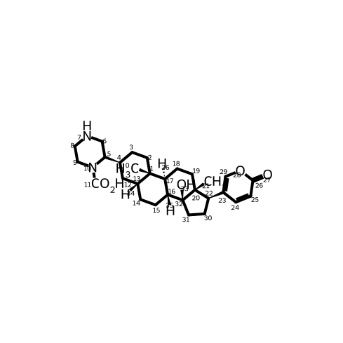 C[C@]12CC[C@H](C3CNCCN3C(=O)O)C[C@H]1CC[C@@H]1[C@@H]2CC[C@]2(C)[C@@H](c3ccc(=O)oc3)CC[C@]12O